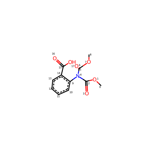 COC(=O)N(C(=O)OC)c1ccccc1C(=O)O